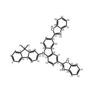 CC1(C)c2ccccc2-c2ccc(-n3c4ccc(-c5nc6ccccc6o5)cc4c4cc(-c5nc6ccccc6o5)ccc43)cc21